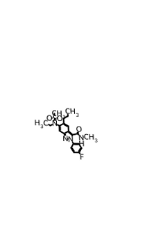 CCCc1cc2c(C(=O)NC)n(-c3ccc(F)cc3)nc2cc1N(CC)S(C)(=O)=O